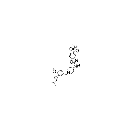 COc1ccc(CN2CCC(Nc3nc4cc(S(=O)(=O)N(C)C)ccc4o3)CC2)cc1OCC(C)C